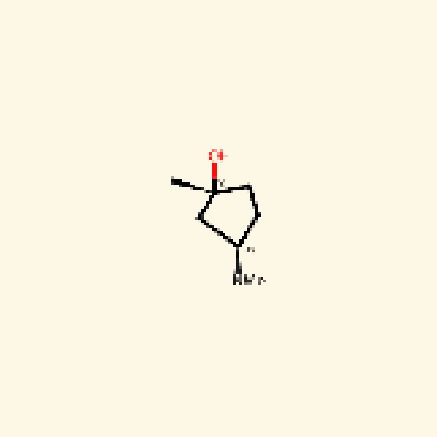 CN[C@@H]1CC[C@@](C)(O)C1